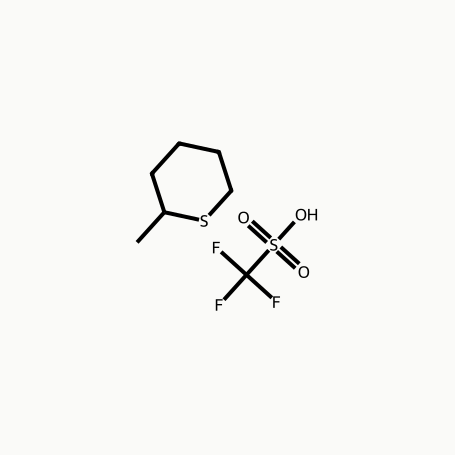 CC1CCCCS1.O=S(=O)(O)C(F)(F)F